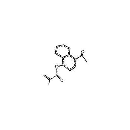 C=C(C)C(=O)Oc1ccc(C(C)=O)c2ccccc12